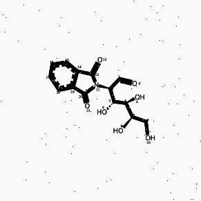 O=C[C@@H]([C@@H](O)[C@@H](O)[C@H](O)CO)N1C(=O)c2ccccc2C1=O